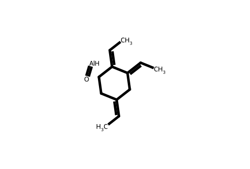 CC=C1CCC(=CC)C(=CC)C1.[O]=[AlH]